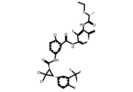 C=C(F)/C(NC(=O)[C@@H](C)OCC)=C(F)\C(=C/C)NC(=O)c1cc(NC(=O)[C@H]2[C@H](c3ccc(F)c(C(F)(F)F)c3)C2(Cl)Cl)ccc1Cl